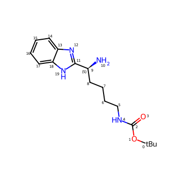 CC(C)(C)OC(=O)NCCCC[C@H](N)c1nc2ccccc2[nH]1